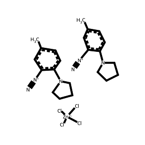 Cc1ccc(N2CCCC2)c([N+]#N)c1.Cc1ccc(N2CCCC2)c([N+]#N)c1.[Cl][Zn-2]([Cl])([Cl])[Cl]